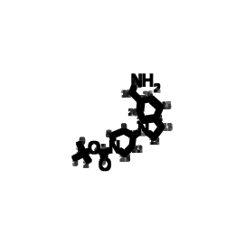 CC(C)(C)OC(=O)N1CCC(N2CCc3ccc(CN)cc32)CC1